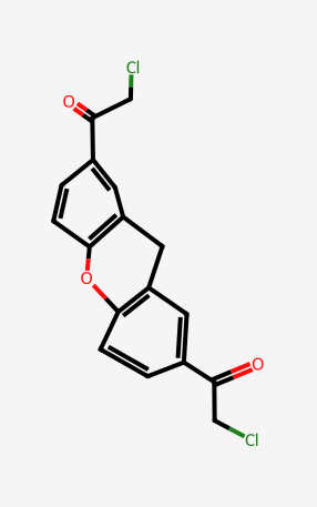 O=C(CCl)c1ccc2c(c1)Cc1cc(C(=O)CCl)ccc1O2